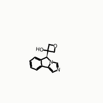 OC1([C@@H]2c3ccccc3-c3cncn32)COC1